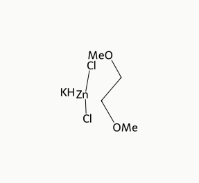 COCCOC.[Cl][Zn][Cl].[KH]